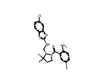 Nc1ccc(F)cc1C(=O)N1CCC(F)(F)[C@H]1CNc1nc2cc(Cl)ccc2o1